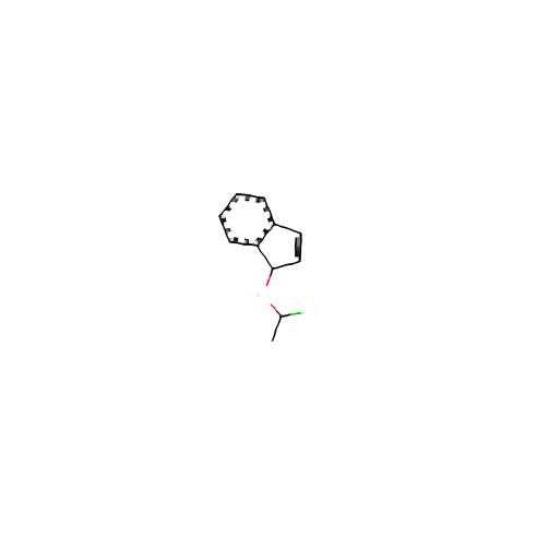 CC(Cl)OC1[C]=Cc2ccccc21